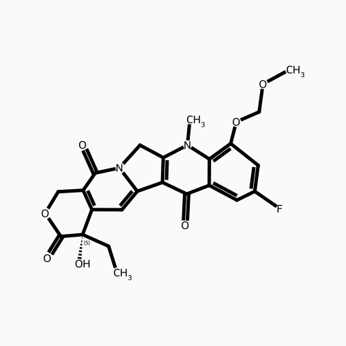 CC[C@@]1(O)C(=O)OCc2c1cc1n(c2=O)Cc2c-1c(=O)c1cc(F)cc(OCOC)c1n2C